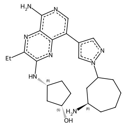 CCc1nc2c(N)ncc(-c3cnn(C4CCCC[C@@H](N)C4)c3)c2nc1N[C@@H]1CC[C@H](O)C1